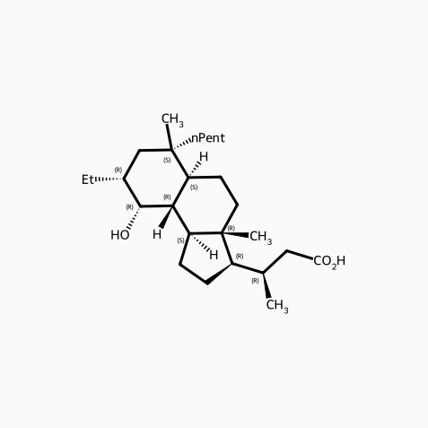 CCCCC[C@@]1(C)C[C@@H](CC)[C@@H](O)[C@@H]2[C@@H]1CC[C@]1(C)[C@@H]([C@H](C)CC(=O)O)CC[C@@H]21